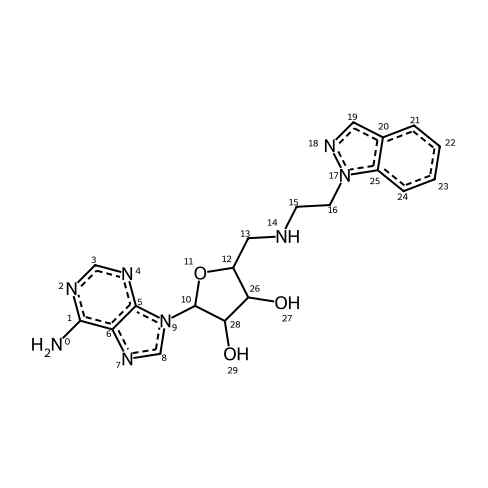 Nc1ncnc2c1ncn2C1OC(CNCCn2ncc3ccccc32)C(O)C1O